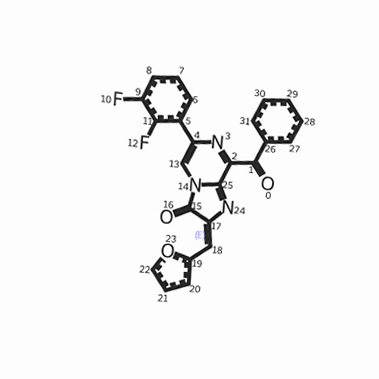 O=C(C1=NC(c2cccc(F)c2F)=CN2C(=O)/C(=C\c3ccco3)N=C12)c1ccccc1